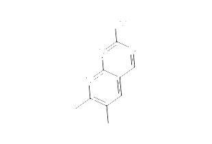 CSc1ncc2cc(C)c(C)nc2n1